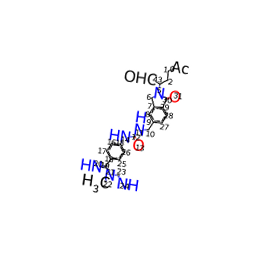 CC(=O)CCC(C=O)N1Cc2cc(CNC(=O)Nc3ccc(C(=N)N(C)C=N)cc3)ccc2C1=O